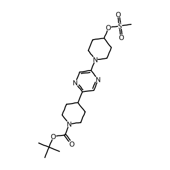 CC(C)(C)OC(=O)N1CCC(c2cnc(N3CCC(OS(C)(=O)=O)CC3)cn2)CC1